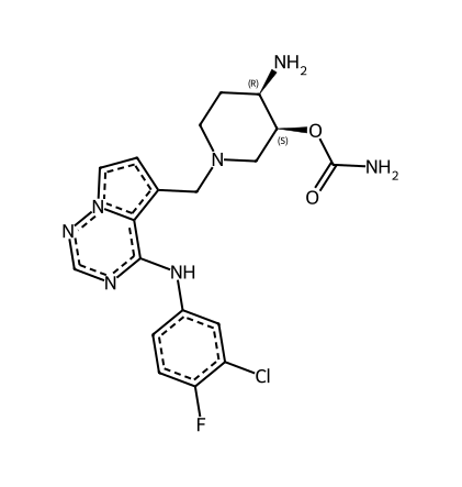 NC(=O)O[C@H]1CN(Cc2ccn3ncnc(Nc4ccc(F)c(Cl)c4)c23)CC[C@H]1N